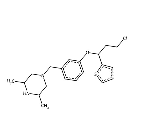 CC1CN(Cc2cccc(OC(CCCl)c3cccs3)c2)CC(C)N1